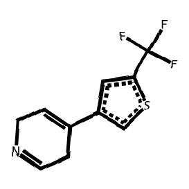 FC(F)(F)c1cc(C2=CCN=CC2)cs1